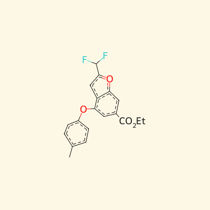 CCOC(=O)c1cc(Oc2ccc(C)cc2)c2cc(C(F)F)oc2c1